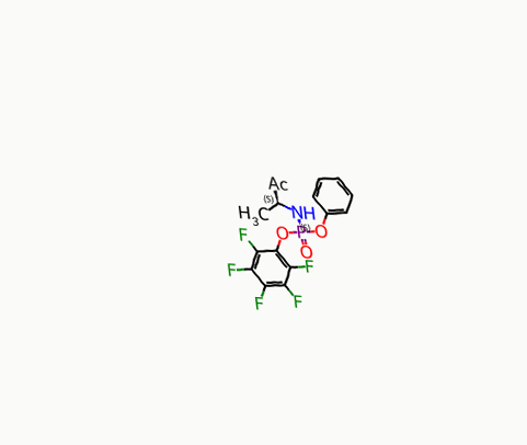 CC(=O)[C@H](C)N[P@](=O)(Oc1ccccc1)Oc1c(F)c(F)c(F)c(F)c1F